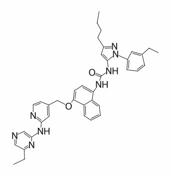 CCCCc1cc(NC(=O)Nc2ccc(OCc3ccnc(Nc4cncc(CC)n4)c3)c3ccccc23)n(-c2cccc(CC)c2)n1